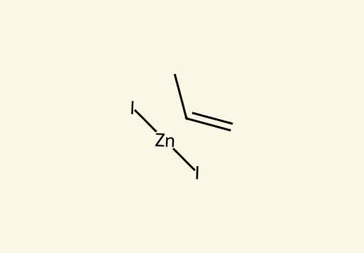 C=CC.[I][Zn][I]